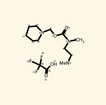 CNCCN(C)C(=O)OCN1CCCCC1.O=C(O)C(F)(F)F